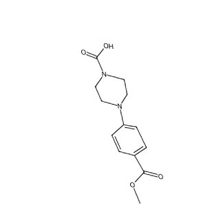 COC(=O)c1ccc(N2CCN(C(=O)O)CC2)cc1